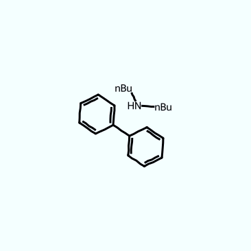 CCCCNCCCC.c1ccc(-c2ccccc2)cc1